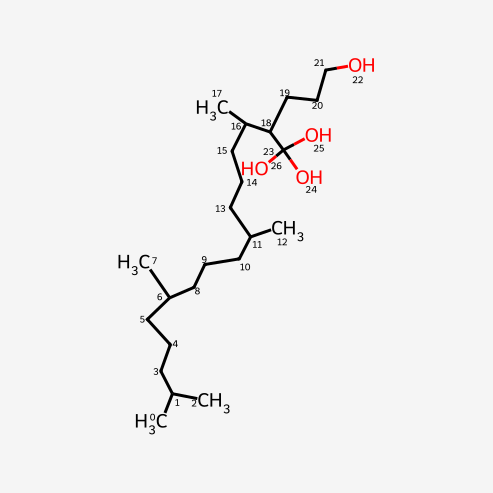 CC(C)CCCC(C)CCCC(C)CCCC(C)C(CCCO)C(O)(O)O